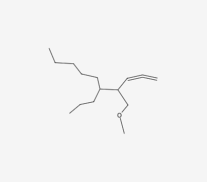 C=C=CC(COC)C(CCC)CCCCC